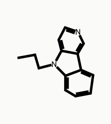 CCCn1c2ccccc2c2cnccc21